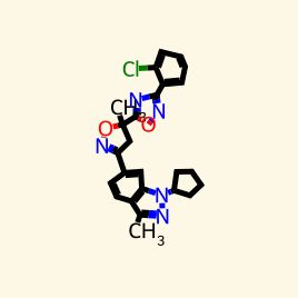 Cc1nn(C2CCCC2)c2cc(C3=NOC(C)(c4nc(-c5ccccc5Cl)no4)C3)ccc12